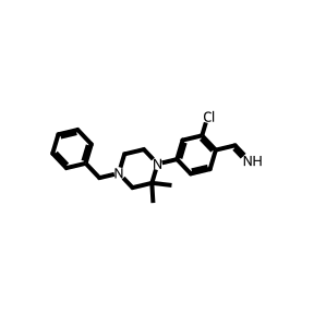 CC1(C)CN(Cc2ccccc2)CCN1c1ccc(C=N)c(Cl)c1